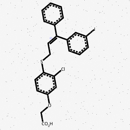 O=C(O)COc1ccc(SC/C=C(/c2ccccc2)c2cccc(I)c2)c(Cl)c1